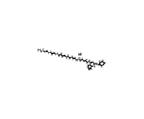 CCCCCCCCCCCCCCCCCCCCCCCCCCCC=CC(C=Nc1ccccc1)=Nc1ccccc1.[Ni]